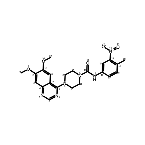 COc1cc2ncnc(N3CCN(C(=O)Nc4ccc(C)c([N+](=O)[O-])c4)CC3)c2cc1OC